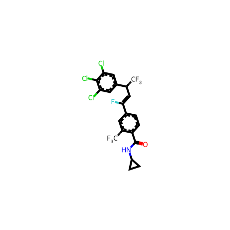 O=C(NC1CC1)c1ccc(C(F)=CC(c2cc(Cl)c(Cl)c(Cl)c2)C(F)(F)F)cc1C(F)(F)F